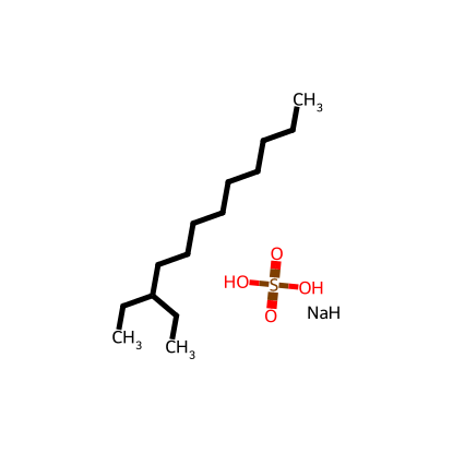 CCCCCCCCCC(CC)CC.O=S(=O)(O)O.[NaH]